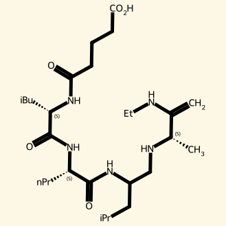 C=C(NCC)[C@H](C)NCC(CC(C)C)NC(=O)[C@H](CCC)NC(=O)[C@@H](NC(=O)CCCC(=O)O)C(C)CC